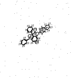 O=C(OC1CC2CCC(C1)[N+]21CCCC1)C(OCc1ccccc1)(c1ccccc1)c1ccccc1.[Cl-]